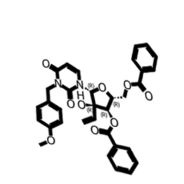 C=C[C@@]1(O)[C@H](OC(=O)c2ccccc2)[C@@H](COC(=O)c2ccccc2)O[C@H]1n1ccc(=O)n(Cc2ccc(OC)cc2)c1=O